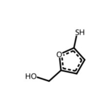 OCc1ccc(S)o1